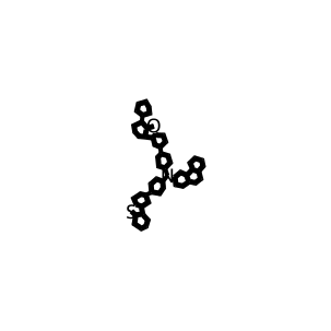 c1ccc(-c2cccc3c2oc2ccc(-c4ccc(N(c5ccc(-c6ccc7sc8ccccc8c7c6)cc5)c5ccc6ccc7ccccc7c6c5)cc4)cc23)cc1